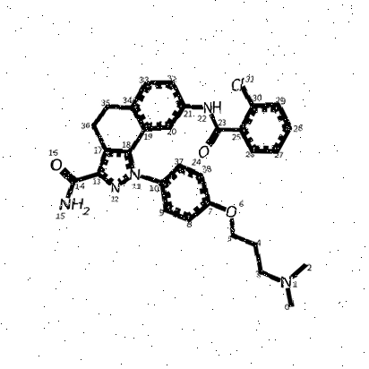 CN(C)CCCOc1ccc(-n2nc(C(N)=O)c3c2-c2cc(NC(=O)c4ccccc4Cl)ccc2CC3)cc1